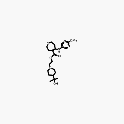 COc1ncc(NC2=C(C(=N)OCCN3CCC(C(C)(C)O)CC3)CCOCC2)cn1